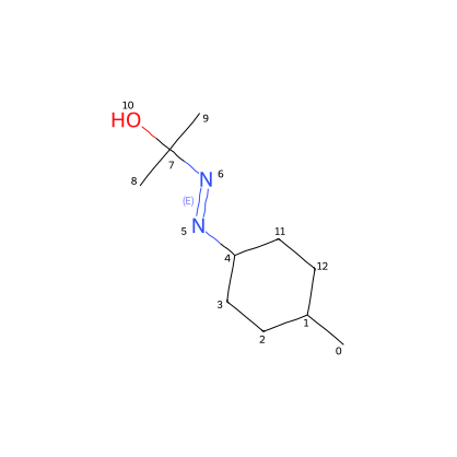 CC1CCC(/N=N/C(C)(C)O)CC1